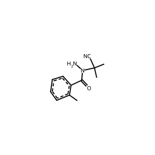 Cc1ccccc1C(=O)N(N)C(C)(C)C#N